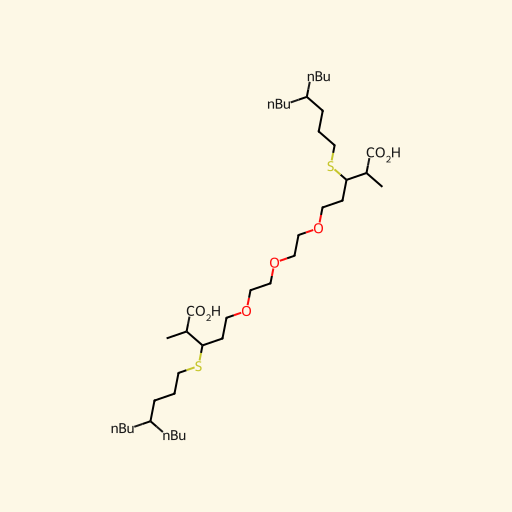 CCCCC(CCCC)CCCSC(CCOCCOCCOCCC(SCCCC(CCCC)CCCC)C(C)C(=O)O)C(C)C(=O)O